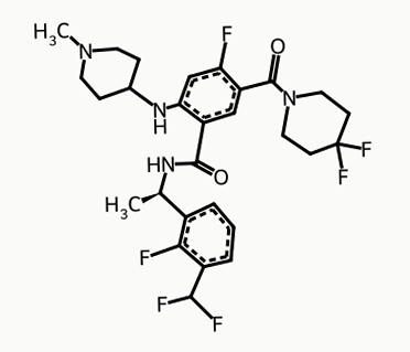 C[C@@H](NC(=O)c1cc(C(=O)N2CCC(F)(F)CC2)c(F)cc1NC1CCN(C)CC1)c1cccc(C(F)F)c1F